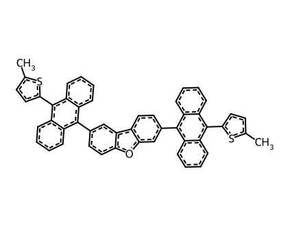 Cc1ccc(-c2c3ccccc3c(-c3ccc4c(c3)oc3ccc(-c5c6ccccc6c(-c6ccc(C)s6)c6ccccc56)cc34)c3ccccc23)s1